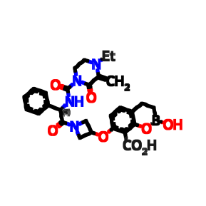 C=C1C(=O)N(C(=O)N[C@@H](C(=O)N2CC(Oc3ccc4c(c3C(=O)O)OB(O)CC4)C2)c2ccccc2)CCN1CC